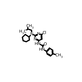 Cc1ccc(NC(=O)Nc2cc(Cl)nc(N(CC(C)C)C3CCCCC3)n2)cc1